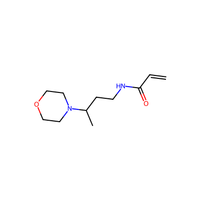 C=CC(=O)NCCC(C)N1CCOCC1